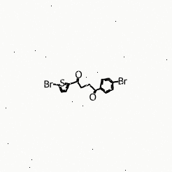 O=C(CCC(=O)c1ccc(Br)s1)c1ccc(Br)cc1